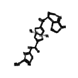 CSc1nsc(NC(=O)N2C[C@H]3CC(N(C)c4ncnc5[nH]ccc45)C[C@H]3C2)n1